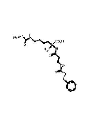 CC(C)(C)OC(=O)NCCCC[C@](C)(NC(=O)CCNC(=O)OCc1ccccc1)C(=O)O